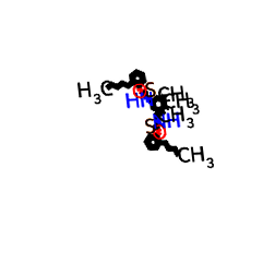 CCCCCc1ccccc1OC(=S)NCC1(C)CC(NC(=S)Oc2ccccc2CCCCC)CC(C)(C)C1